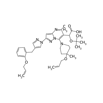 C=CCOc1ccccc1Cc1cnn(-c2cc3nc(C)c(C(OC(C)(C)C)C(=O)O)c(N4CCC(C)(OCC=C)CC4)n3n2)c1